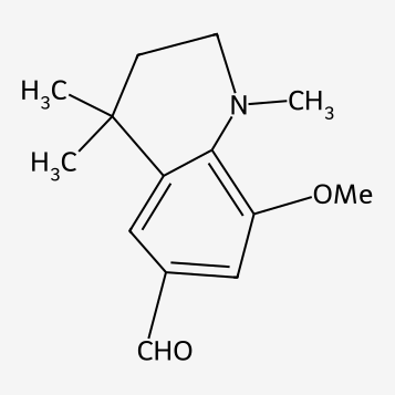 COc1cc(C=O)cc2c1N(C)CCC2(C)C